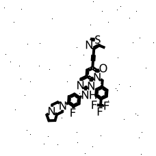 Cc1scnc1C#Cc1cc2cnc(Nc3ccc(N4CCN5CCCC5C4)c(F)c3)nc2n(Cc2ccc(C(F)(F)F)cc2)c1=O